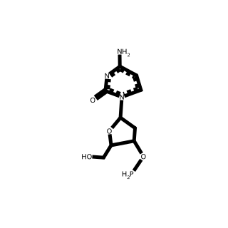 Nc1ccn(C2CC(OP)C(CO)O2)c(=O)n1